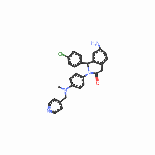 CN(Cc1ccncc1)c1ccc(N2C(=O)Cc3ccc(N)cc3C2c2ccc(Cl)cc2)cc1